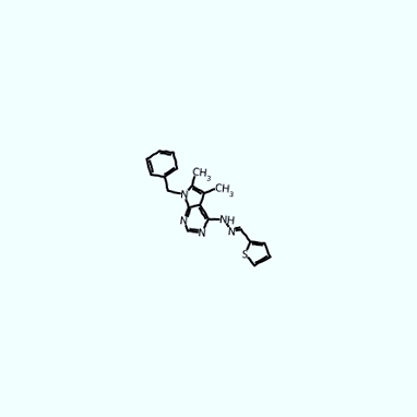 Cc1c(C)n(Cc2ccccc2)c2ncnc(N/N=C/c3cccs3)c12